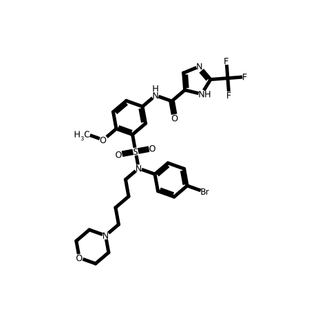 COc1ccc(NC(=O)c2cnc(C(F)(F)F)[nH]2)cc1S(=O)(=O)N(CCCCN1CCOCC1)c1ccc(Br)cc1